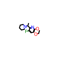 CC(c1nc2c(cc1F)OCCO2)N1CCCCC1